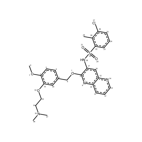 COc1ccc(COc2nc3cccnc3cc2NS(=O)(=O)c2cccc(Cl)c2C)cc1OCCN(C)C